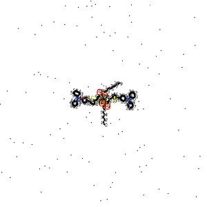 CCCCCCCCS(=O)(=O)c1cc(-c2ccc(-c3ccc(N(c4ccccc4)c4ccccc4)cc3)s2)sc1-c1sc(-c2ccc(-c3ccc(N(c4ccccc4)c4ccccc4)cc3)s2)cc1S(=O)(=O)CCCCCCCC